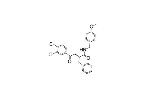 COc1ccc(CNC(=O)[C@H](CC(=O)c2ccc(Cl)c(Cl)c2)Cc2ccccc2)cc1